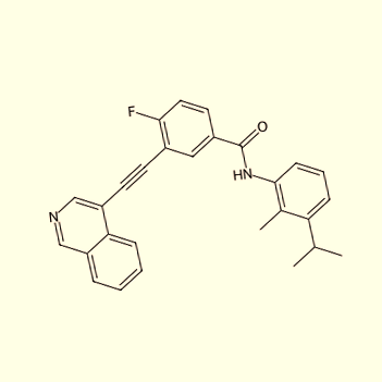 Cc1c(NC(=O)c2ccc(F)c(C#Cc3cncc4ccccc34)c2)cccc1C(C)C